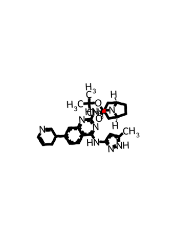 Cc1cc(Nc2nc(N[C@@H]3C[C@H]4CC[C@@H](C3)N4C(=O)OC(C)(C)C)nc3cc(C4C=NC=CC4)ccc23)n[nH]1